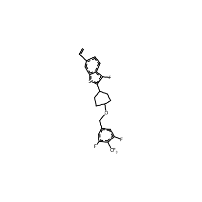 C=Cc1ccc2c(F)c(C3CCC(OCc4cc(F)c(C(F)(F)F)c(F)c4)CC3)sc2c1